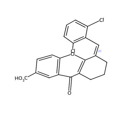 O=C(O)c1ccc2oc3c(c(=O)c2c1)CCC/C3=C/c1c(Cl)cccc1Cl